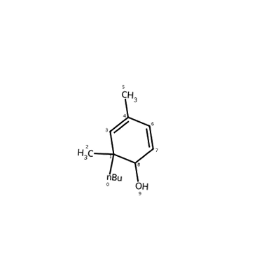 CCCCC1(C)C=C(C)C=CC1O